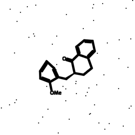 COc1ccccc1C[C@@H]1CCc2ccccc2C1=O